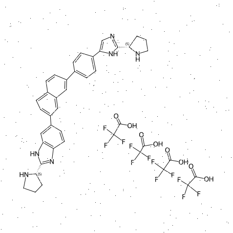 O=C(O)C(F)(F)F.O=C(O)C(F)(F)F.O=C(O)C(F)(F)F.O=C(O)C(F)(F)F.c1cc(-c2cnc([C@@H]3CCCN3)[nH]2)ccc1-c1ccc2ccc(-c3ccc4nc([C@@H]5CCCN5)[nH]c4c3)cc2c1